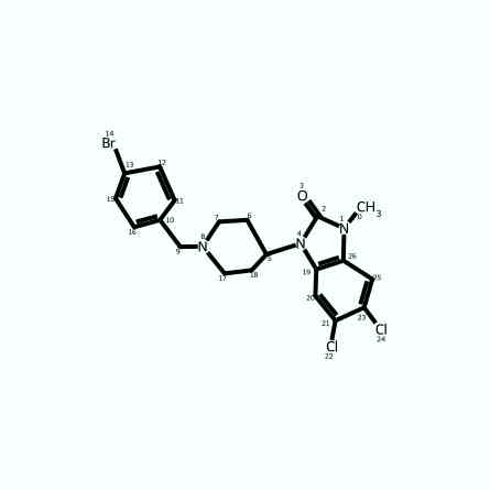 Cn1c(=O)n(C2CCN(Cc3ccc(Br)cc3)CC2)c2cc(Cl)c(Cl)cc21